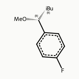 CC[C@@H](C)[C@@H](OC)c1ccc(F)cc1